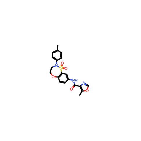 Cc1ccc(N2CCOc3ccc(NC(=O)c4ncoc4C)cc3S2(=O)=O)cc1